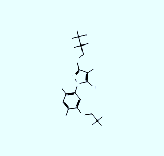 Cc1cc(F)c(-n2nc(OCC(F)(F)C(F)(F)F)c(Cl)c2N)cc1SCC(F)(F)F